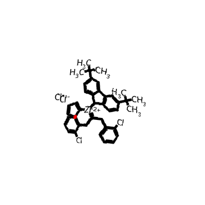 CC(C)(C)c1ccc2c(c1)-c1cc(C(C)(C)C)ccc1[CH]2[Zr+2]([C]1=CC=CC1)=[C](Cc1ccccc1Cl)Cc1ccccc1Cl.[Cl-].[Cl-]